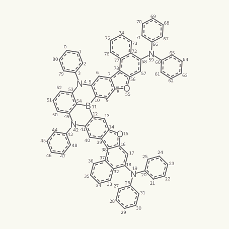 c1ccc(N2c3cc4c(cc3B3c5cc6oc7cc(N(c8ccccc8)c8ccccc8)c8ccccc8c7c6cc5N(c5ccccc5)c5cccc2c53)oc2cc(N(c3ccccc3)c3ccccc3)c3ccccc3c24)cc1